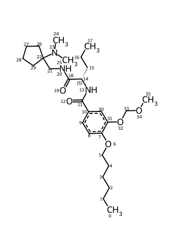 CCCCCCOc1ccc(C(=O)N[C@@H](CCC)C(=O)NCC2(N(C)C)CCCC2)cc1OCOC